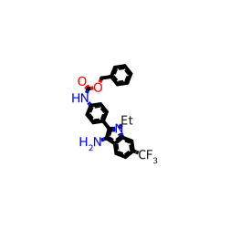 CCn1c(-c2ccc(NC(=O)OCc3ccccc3)cc2)c(N)c2ccc(C(F)(F)F)cc21